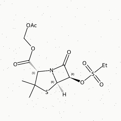 CCS(=O)(=O)O[C@@H]1C(=O)N2[C@@H]1SC(C)(C)[C@@H]2C(=O)OCOC(C)=O